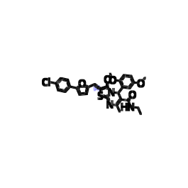 CCNC(=O)C1=C(C)N=c2s/c(=C\c3ccc(-c4ccc(Cl)cc4)o3)c(=O)n2C1c1cc(OC)ccc1OC